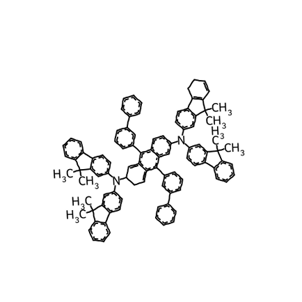 CC1(C)C2=C(CCC=C2)c2ccc(N(c3ccc4c(c3)C(C)(C)c3ccccc3-4)c3ccc4c(-c5cccc(-c6ccccc6)c5)c5c(c(-c6cccc(-c7ccccc7)c6)c4c3)=CCC(N(c3ccc4c(c3)C(C)(C)c3ccccc3-4)c3ccc4c(c3)C(C)(C)c3ccccc3-4)C=5)cc21